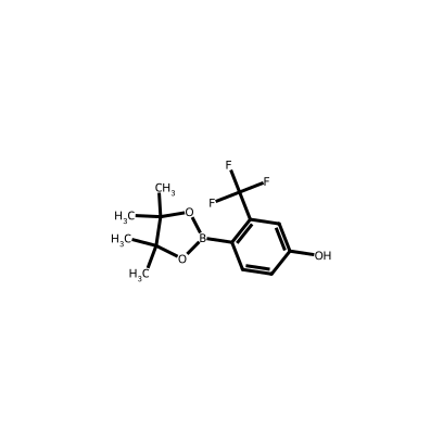 CC1(C)OB(c2ccc(O)cc2C(F)(F)F)OC1(C)C